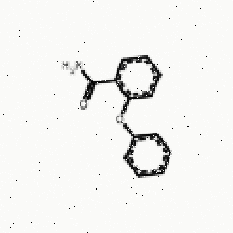 NC(=O)c1ccccc1Oc1ccccc1